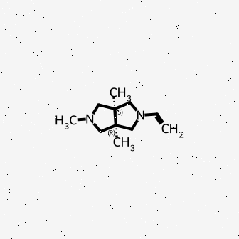 C=CN1C[C@]2(C)CN(C)C[C@]2(C)C1